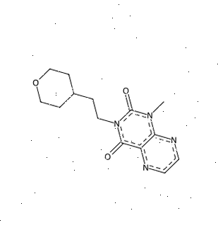 Cn1c(=O)n(CCC2CCOCC2)c(=O)c2nccnc21